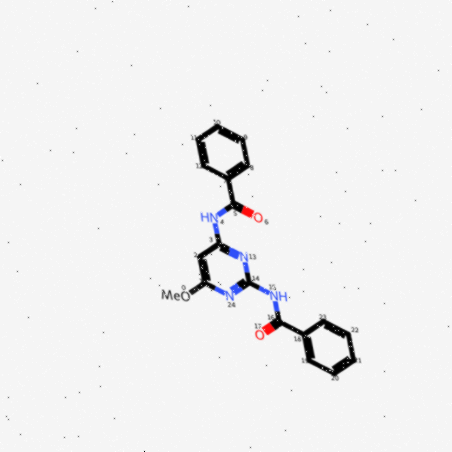 COc1cc(NC(=O)c2ccccc2)nc(NC(=O)c2ccccc2)n1